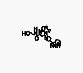 C[C@@H](Oc1nc(C(=O)NCCO)cc(N2CCC(c3n[nH]c4ncccc34)CC2)n1)C1CC1